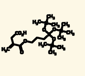 C=C(CC(=O)O)C(=O)OCCC[Si](O[Si](C)(C)C)(O[Si](C)(C)C)O[Si](C)(C)C